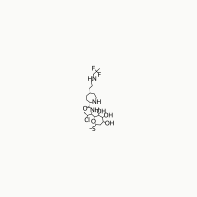 CSC1C[C@H](O)C(O)C(O)[C@@H]([C@H](NC(=O)[C@@H]2CC[C@H](CCCNCC(C)(F)F)CCN2)[C@H](C)Cl)O1